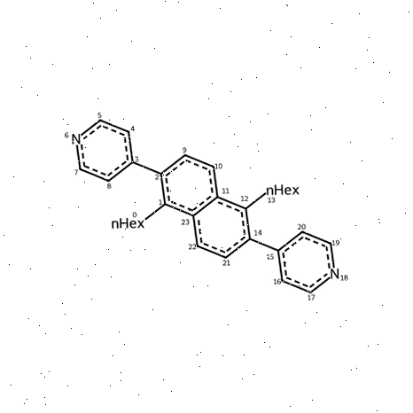 CCCCCCc1c(-c2ccncc2)ccc2c(CCCCCC)c(-c3ccncc3)ccc12